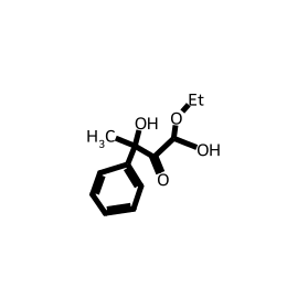 CCOC(O)C(=O)C(C)(O)c1ccccc1